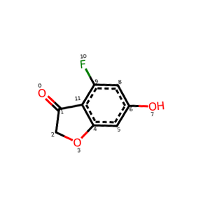 O=C1COc2cc(O)cc(F)c21